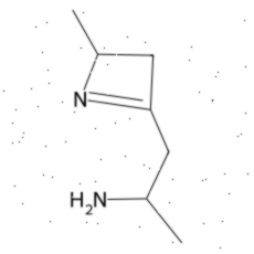 CC(N)CC1=NC(C)C1